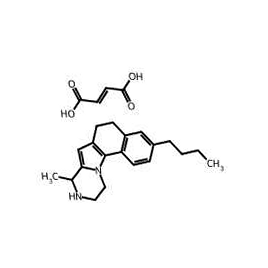 CCCCc1ccc2c(c1)CCc1cc3n(c1-2)CCNC3C.O=C(O)C=CC(=O)O